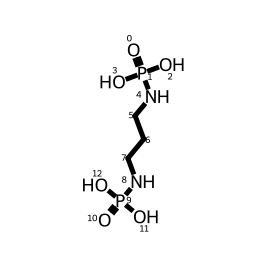 O=P(O)(O)NCCCNP(=O)(O)O